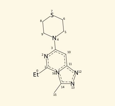 CCc1nc(N2CCSCC2)cc2nnc(C)n12